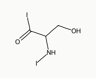 O=C(I)C(CO)NI